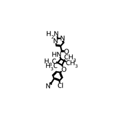 CC1(C)C(NC(=O)c2cnc(N)nc2)C(C)(C)C1Oc1ccc(C#N)c(Cl)c1